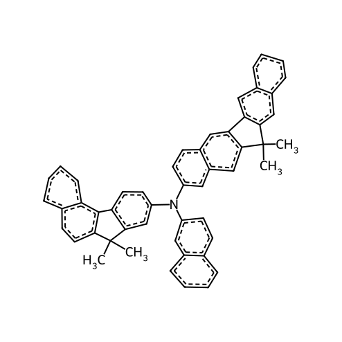 CC1(C)c2cc3ccccc3cc2-c2cc3ccc(N(c4ccc5c(c4)C(C)(C)c4ccc6ccccc6c4-5)c4ccc5ccccc5c4)cc3cc21